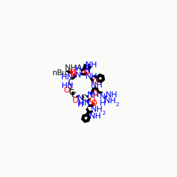 CCCC[C@H](NC(C)=O)C(=O)N[C@H]1CNC(=O)CCC(=O)NC[C@@H](C(=O)N[C@@H](Cc2c[nH]c3ccccc23)C(N)=O)NC(=O)C(CCCNC(=N)N)NC(=O)[C@@H](Cc2ccccc2)NC(=O)[C@H](Cc2c[nH]cn2)NC1=O